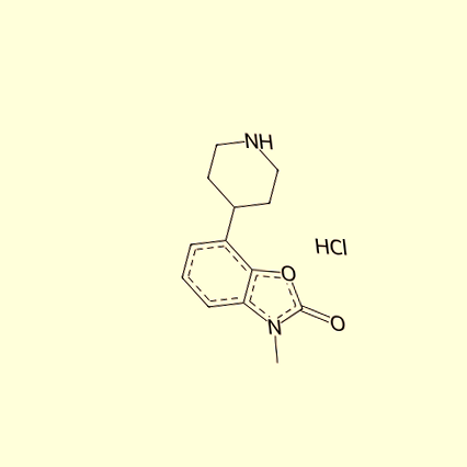 Cl.Cn1c(=O)oc2c(C3CCNCC3)cccc21